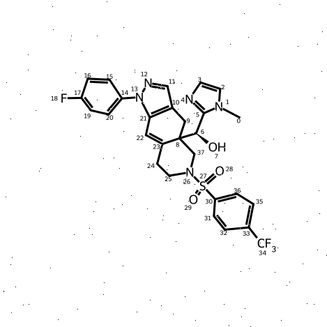 Cn1ccnc1[C@@H](O)C12Cc3cnn(-c4ccc(F)cc4)c3C=C1CCN(S(=O)(=O)c1ccc(C(F)(F)F)cc1)C2